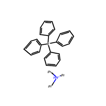 CC(C)[NH+](C(C)C)C(C)C.c1ccc([B-](c2ccccc2)(c2ccccc2)c2ccccc2)cc1